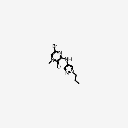 CCCn1cc(Nc2nc(Br)cn(C)c2=O)cn1